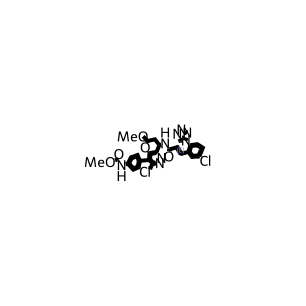 COC(=O)CC(NC(=O)/C=C/c1cc(Cl)ccc1-n1cnnn1)c1cc(-c2ccc(NC(=O)OC)cc2)c(Cl)nn1